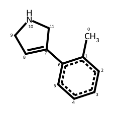 Cc1ccccc1C1=CCNC1